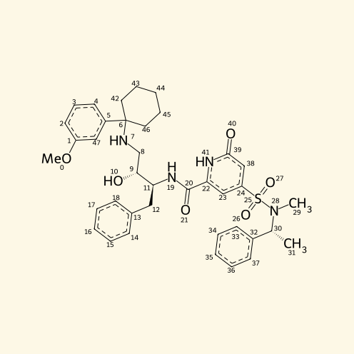 COc1cccc(C2(NC[C@@H](O)[C@H](Cc3ccccc3)NC(=O)c3cc(S(=O)(=O)N(C)[C@H](C)c4ccccc4)cc(=O)[nH]3)CCCCC2)c1